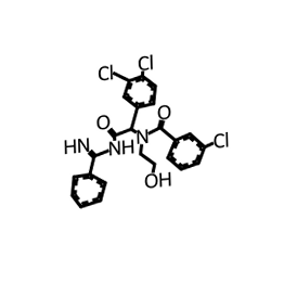 N=C(NC(=O)C(c1ccc(Cl)c(Cl)c1)N(CCO)C(=O)c1cccc(Cl)c1)c1ccccc1